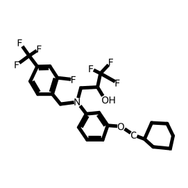 OC(CN(Cc1ccc(C(F)(F)F)cc1F)c1cccc(OCC2CCCCC2)c1)C(F)(F)F